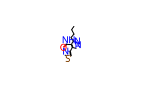 CCCCc1nncc(-c2cscn2)c1C(N)=O